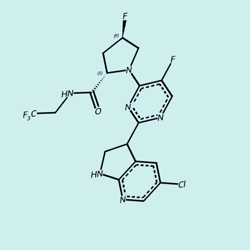 O=C(NCC(F)(F)F)[C@@H]1C[C@@H](F)CN1c1nc(C2CNc3ncc(Cl)cc32)ncc1F